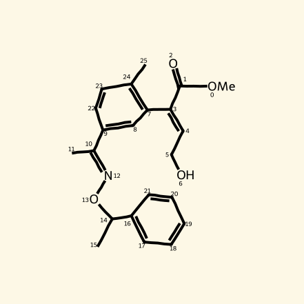 COC(=O)/C(=C/CO)c1cc(C(C)=NOC(C)c2ccccc2)ccc1C